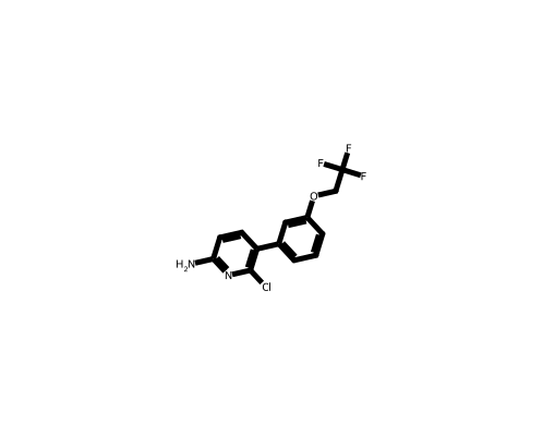 Nc1ccc(-c2cccc(OCC(F)(F)F)c2)c(Cl)n1